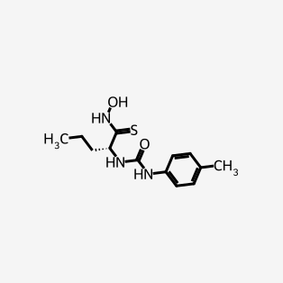 CCC[C@@H](NC(=O)Nc1ccc(C)cc1)C(=S)NO